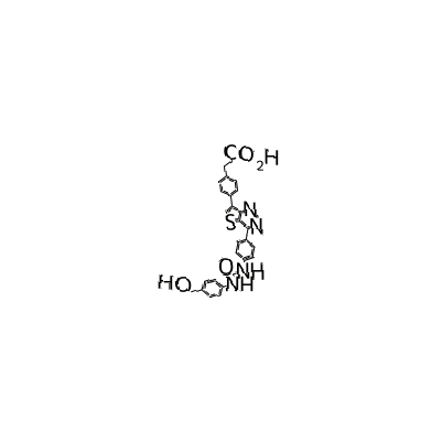 O=C(O)CCc1ccc(-c2csc3c(-c4ccc(NC(=O)Nc5ccc(CO)cc5)cc4)ncnc23)cc1